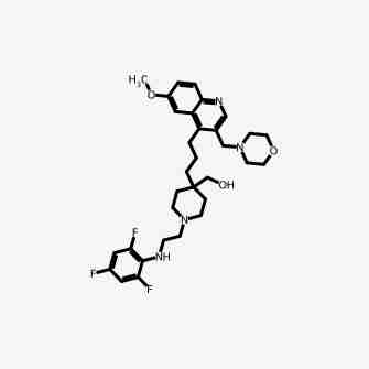 COc1ccc2ncc(CN3CCOCC3)c(CCCC3(CO)CCN(CCNc4c(F)cc(F)cc4F)CC3)c2c1